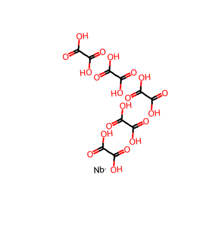 O=C(O)C(=O)O.O=C(O)C(=O)O.O=C(O)C(=O)O.O=C(O)C(=O)O.O=C(O)C(=O)O.[Nb]